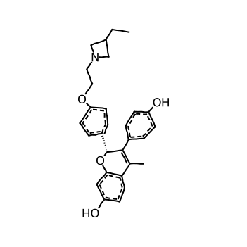 CCC1CN(CCOc2ccc([C@H]3Oc4cc(O)ccc4C(C)=C3c3ccc(O)cc3)cc2)C1